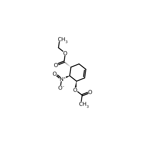 CCOC(=O)[C@@H]1CC=C[C@@H](OC(C)=O)[C@H]1[N+](=O)[O-]